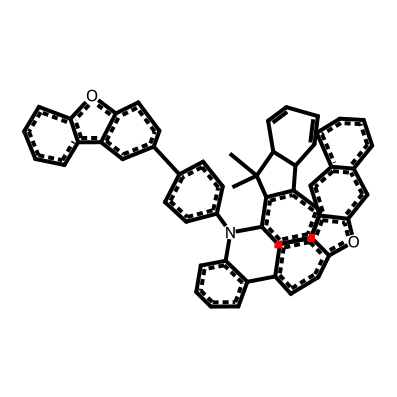 CC1(C)c2c(cccc2N(c2ccc(-c3ccc4oc5ccccc5c4c3)cc2)c2ccccc2-c2ccc3oc4cc5ccccc5cc4c3c2)C2C=CC=CC21